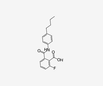 CCCCc1ccc(NC(=O)c2cccc(F)c2C(=O)O)cc1